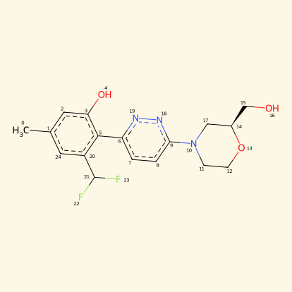 Cc1cc(O)c(-c2ccc(N3CCO[C@H](CO)C3)nn2)c(C(F)F)c1